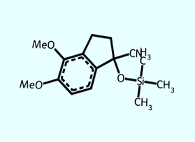 COc1ccc2c(c1OC)CCC2(C#N)O[Si](C)(C)C